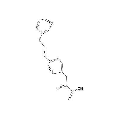 C=C(O)C(=O)Cc1ccc(CCCc2ccccc2)cc1